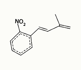 C=C(C)C=Cc1ccccc1[N+](=O)[O-]